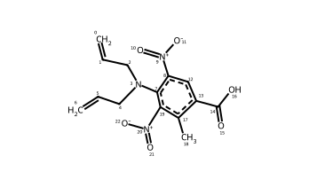 C=CCN(CC=C)c1c([N+](=O)[O-])cc(C(=O)O)c(C)c1[N+](=O)[O-]